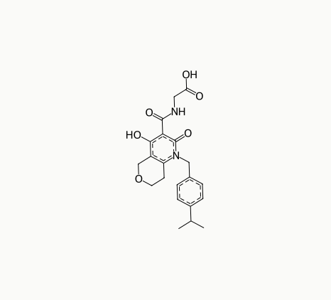 CC(C)c1ccc(Cn2c3c(c(O)c(C(=O)NCC(=O)O)c2=O)COCC3)cc1